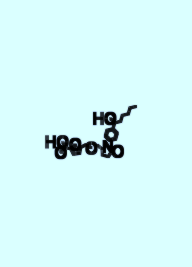 CCCCCC(O)c1ccc(N2C(=O)CC[C@H]2COCc2ccc(C(=O)O)o2)cc1